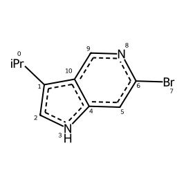 CC(C)c1c[nH]c2cc(Br)ncc12